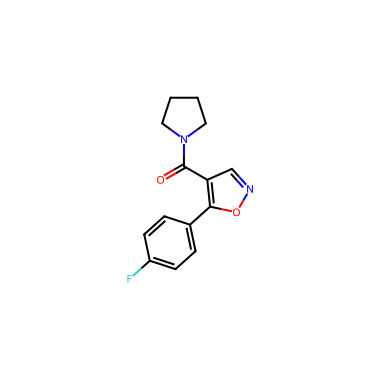 O=C(c1cnoc1-c1ccc(F)cc1)N1CCCC1